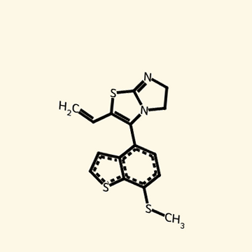 C=CC1=C(c2ccc(SC)c3sccc23)N2CCN=C2S1